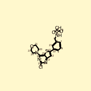 CS(=O)(=O)NCc1cccc(-c2cc3nc(Cl)nc(N4CCOCC4)c3s2)c1